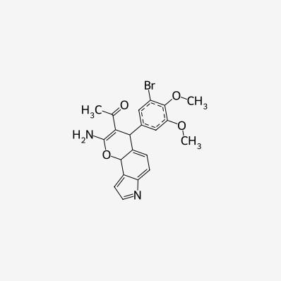 COc1cc(C2C3=CC=C4N=CC=C4C3OC(N)=C2C(C)=O)cc(Br)c1OC